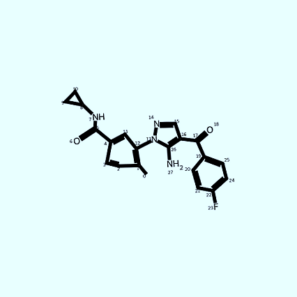 Cc1ccc(C(=O)NC2CC2)cc1-n1ncc(C(=O)c2ccc(F)cc2)c1N